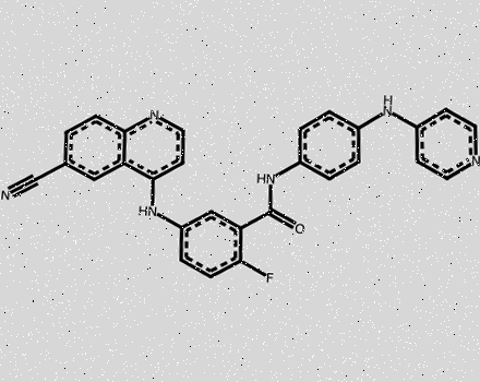 N#Cc1ccc2nccc(Nc3ccc(F)c(C(=O)Nc4ccc(Nc5ccncc5)cc4)c3)c2c1